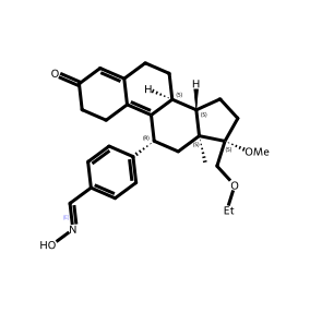 CCOC[C@]1(OC)CC[C@H]2[C@@H]3CCC4=CC(=O)CCC4=C3[C@@H](c3ccc(/C=N/O)cc3)C[C@@]21C